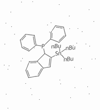 CCC[CH2][Sn]([CH2]CCC)([CH2]CCC)[C]1=Cc2ccccc2C1P(c1ccccc1)c1ccccc1